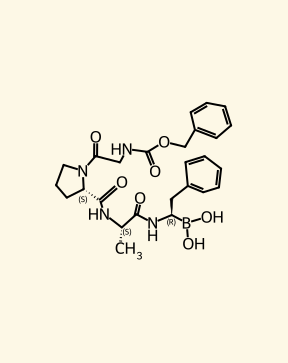 C[C@H](NC(=O)[C@@H]1CCCN1C(=O)CNC(=O)OCc1ccccc1)C(=O)N[C@@H](Cc1ccccc1)B(O)O